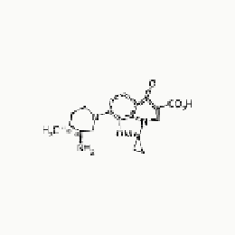 COc1c(N2CC[C@@H](C)[C@H](N)C2)ccc2c(=O)c(C(=O)O)cn(C3CC3)c12